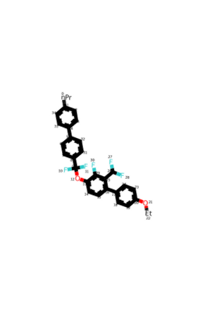 CCCc1ccc(-c2ccc(C(F)(F)Oc3ccc(-c4ccc(OCC)cc4)c(C(F)F)c3F)cc2)cc1